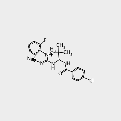 CC(C)(C)C(NC(=O)c1ccc(Cl)cc1)N/C(=N/C#N)Nc1c(F)cccc1F